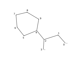 [CH2]CC([CH2])C1CCCCC1